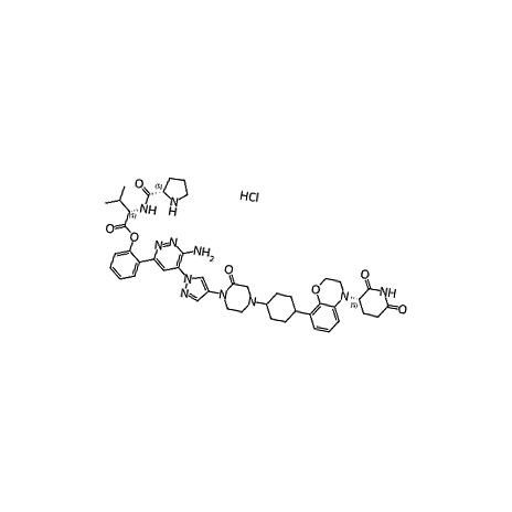 CC(C)[C@H](NC(=O)[C@@H]1CCCN1)C(=O)Oc1ccccc1-c1cc(-n2cc(N3CCN(C4CCC(c5cccc6c5OCCN6[C@H]5CCC(=O)NC5=O)CC4)CC3=O)cn2)c(N)nn1.Cl